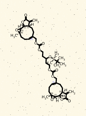 C=C1C(=O)O[C@H]2[C@H]1CC/C(COC(=O)OCCC(CCOC(=O)OC/C1=C/CC[C@@]3(C)O[C@H]3[C@H]3OC(=O)C(=C)[C@@H]3CC1)O[Si](C)(C)C(C)(C)C)=C\CC[C@@]1(C)O[C@@H]21